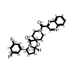 O=C(c1cnc2ccccc2n1)N1CCC2(CC1)O[C@@H]1CC[C@@H](c3cc(F)cc(F)c3)N1C2=O